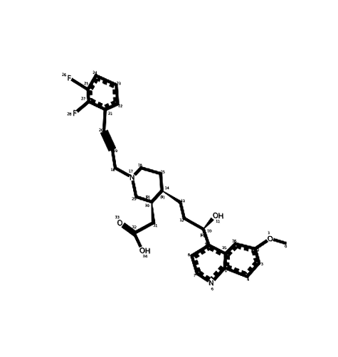 COc1ccc2nccc([C@H](O)CC[C@@H]3CCN(CC#Cc4cccc(F)c4F)C[C@@H]3CC(=O)O)c2c1